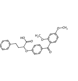 COc1ccc(C(=O)c2ccc(OC(CCc3ccccc3)C(=O)O)cc2)c(OC)c1